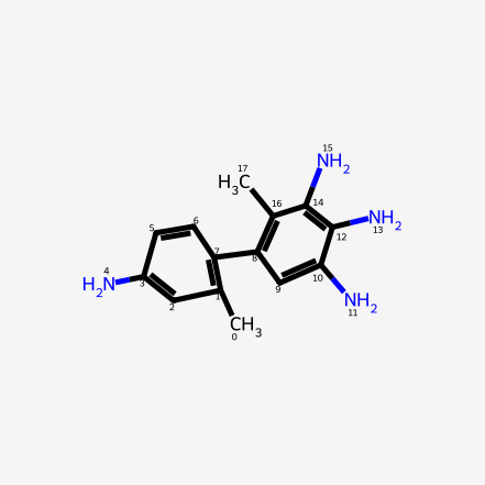 Cc1cc(N)ccc1-c1cc(N)c(N)c(N)c1C